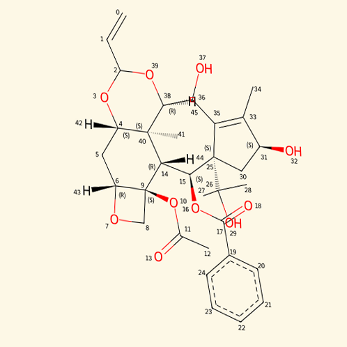 C=CC1O[C@H]2C[C@H]3OC[C@@]3(OC(C)=O)[C@H]3[C@H](OC(=O)c4ccccc4)[C@]4(C(C)(C)O)C[C@H](O)C(C)=C4C(O)[C@H](O1)[C@]23C